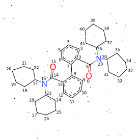 O=C(c1ccccc1-c1ccccc1C(=O)N(C1CCCCC1)C1CCCCC1)N(C1CCCCC1)C1CCCCC1